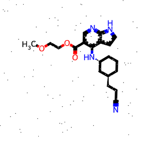 COCCOC(=O)c1cnc2[nH]ccc2c1N[C@@H]1CCC[C@@H](CCC#N)C1